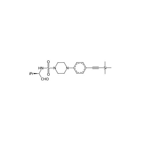 CC(C)[C@H](C=O)NS(=O)(=O)N1CCN(c2ccc(C#C[Si](C)(C)C)cc2)CC1